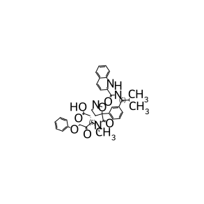 CC(C)[C@H](NC(=O)c1ccc2ccccc2n1)c1cccc(C2(C(=O)N(C)[C@@H](CC(=O)O)C(=O)COc3ccccc3)CC=NO2)c1